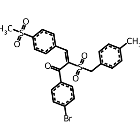 Cc1ccc(CS(=O)(=O)C(=Cc2ccc(S(C)(=O)=O)cc2)C(=O)c2ccc(Br)cc2)cc1